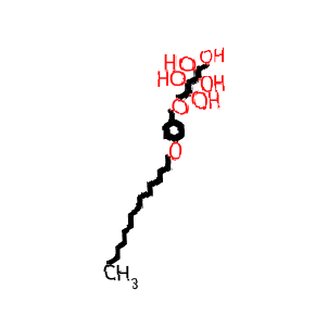 CCCCCCCCCCCCCCCCOc1ccc(COCC(O)C(O)C(O)C(O)CO)cc1